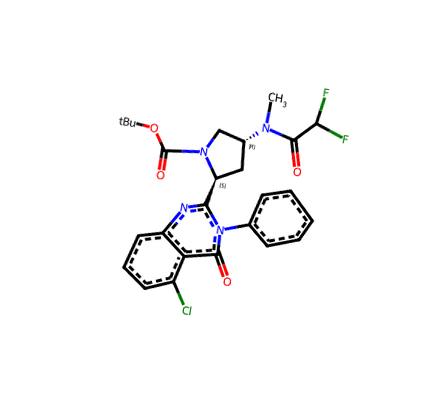 CN(C(=O)C(F)F)[C@@H]1C[C@@H](c2nc3cccc(Cl)c3c(=O)n2-c2ccccc2)N(C(=O)OC(C)(C)C)C1